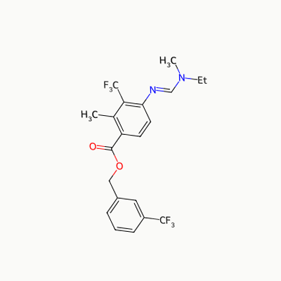 CCN(C)/C=N/c1ccc(C(=O)OCc2cccc(C(F)(F)F)c2)c(C)c1C(F)(F)F